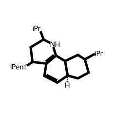 CCCC(C)C1CC(C(C)C)NC2=C1C=C[C@@H]1CCC(C(C)C)CC21